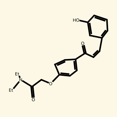 CCN(CC)C(=O)COc1ccc(C(=O)/C=C\c2cccc(O)c2)cc1